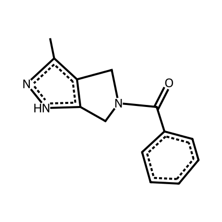 Cc1n[nH]c2c1CN(C(=O)c1ccccc1)C2